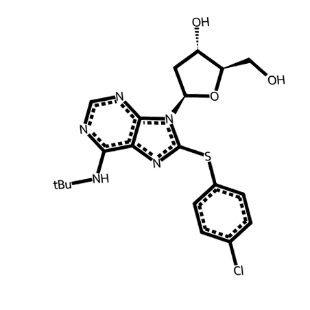 CC(C)(C)Nc1ncnc2c1nc(Sc1ccc(Cl)cc1)n2[C@H]1C[C@H](O)[C@@H](CO)O1